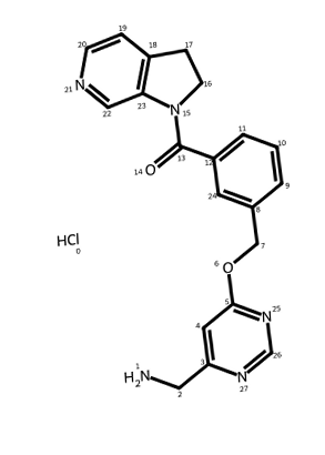 Cl.NCc1cc(OCc2cccc(C(=O)N3CCc4ccncc43)c2)ncn1